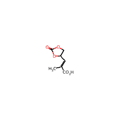 CC(=CC1COC(=O)O1)C(=O)O